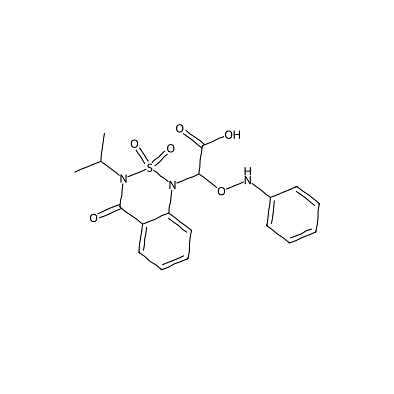 CC(C)N1C(=O)c2ccccc2N(C(ONc2ccccc2)C(=O)O)S1(=O)=O